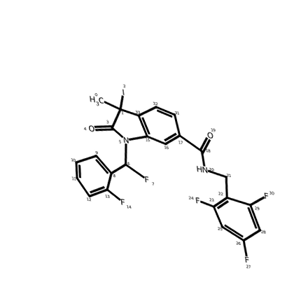 CC1(I)C(=O)N(C(F)c2ccccc2F)c2cc(C(=O)NCc3c(F)cc(F)cc3F)ccc21